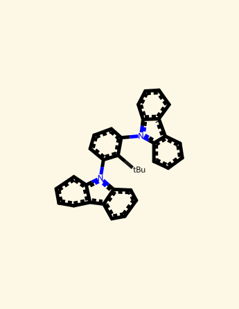 CC(C)(C)c1c(-n2c3ccccc3c3ccccc32)cccc1-n1c2ccccc2c2ccccc21